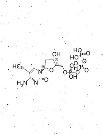 C#Cc1cn([C@H]2C[C@H](O)[C@@H](COP(=O)(O)OP(=O)(O)OP(=O)(O)O)O2)c(=O)nc1N